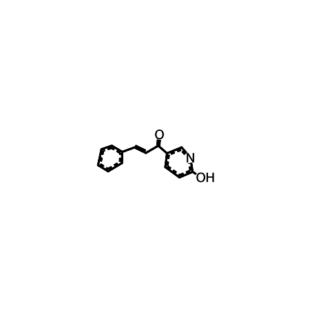 O=C(/C=C/c1ccccc1)c1ccc(O)nc1